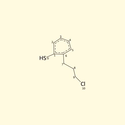 Sc1ccccc1CCCCl